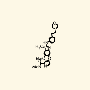 CNC(=O)c1cc(Oc2cc3nc(Nc4cccc(CCN5CCOCC5)c4)n(C)c3cc2OC)ccn1